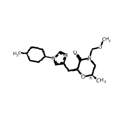 COCN1C[C@@H](C)OC(Cc2cn(C3CCC(C)CC3)cn2)C1=O